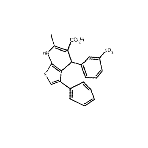 CC1=C(C(=O)O)C(c2cccc([N+](=O)[O-])c2)c2c(-c3ccccc3)csc2N1